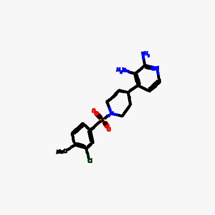 COc1ccc(S(=O)(=O)N2CCC(c3ccnc(N)c3N)CC2)cc1Cl